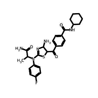 CC(C(N)=O)N(C1=NC(N)C(C(=O)c2ccc(C(=O)NC3CCCCC3)cc2)S1)c1ccc(F)cc1